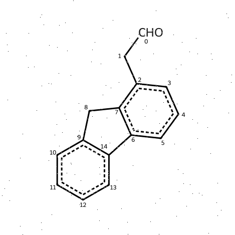 O=CCc1cccc2c1Cc1ccccc1-2